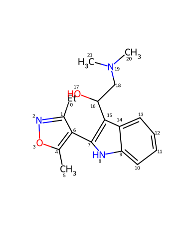 CCc1noc(C)c1-c1[nH]c2ccccc2c1C(O)CN(C)C